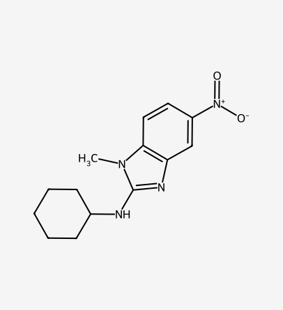 Cn1c(NC2CCCCC2)nc2cc([N+](=O)[O-])ccc21